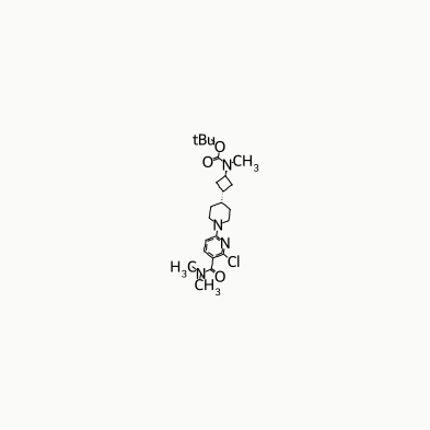 CN(C)C(=O)c1ccc(N2CCC([C@H]3C[C@H](N(C)C(=O)OC(C)(C)C)C3)CC2)nc1Cl